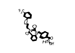 O=C(NO)c1ccc(Cn2c(=O)n(CCOc3cccc(C(F)(F)F)c3)c(=O)c3ccccc32)cc1